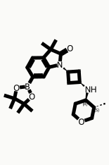 C[C@@H]1COCC[C@H]1N[C@H]1C[C@@H](N2C(=O)C(C)(C)c3ccc(B4OC(C)(C)C(C)(C)O4)cc32)C1